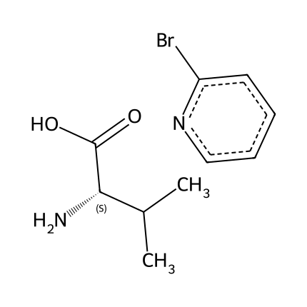 Brc1ccccn1.CC(C)[C@H](N)C(=O)O